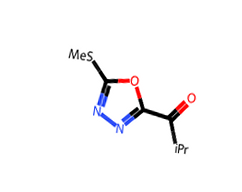 CSc1nnc(C(=O)C(C)C)o1